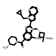 COc1cc(C(=O)N2CCC[C@@H](N)C2)cc2nc(-c3cc4cccnc4n3CC3CC3)n(C[C@H]3C[C@@](C)(OC)C3)c12